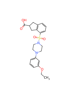 CCOc1cccc(N2CCN(S(=O)(=O)c3cccc4c3CC(C(=O)O)C4)CC2)c1